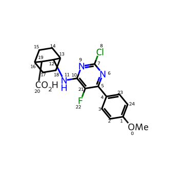 COc1ccc(-c2nc(Cl)nc(NC3C4CCC(CC4)C3C(=O)O)c2F)cc1